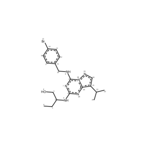 CCC(CO)Nc1nc(NCc2ccc(Br)cc2)n2ncc(C(C)C)c2n1